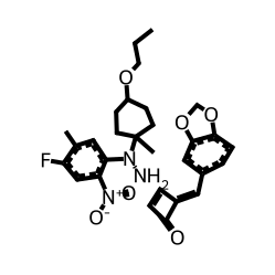 CCCOC1CCC(C)(N(N)c2cc(C)c(F)cc2[N+](=O)[O-])CC1.O=C1C=CC1=Cc1ccc2c(c1)OCO2